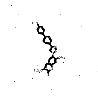 CCOC(=O)c1cc2cc(-n3cc(-c4ccc(-c5ccc(N)cc5)cc4)nn3)c(OC)cc2oc1=O